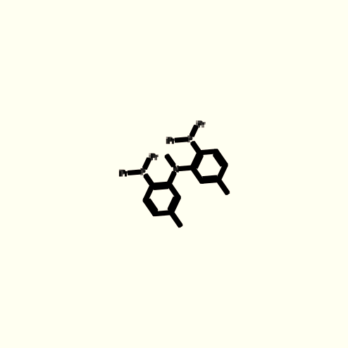 Cc1ccc(P(C(C)C)C(C)C)c(N(C)c2cc(C)ccc2P(C(C)C)C(C)C)c1